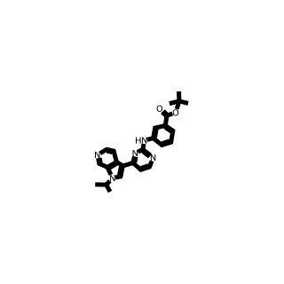 CC(C)n1cc(-c2ccnc(Nc3cccc(C(=O)OC(C)(C)C)c3)n2)c2ccncc21